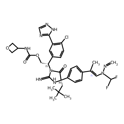 C=NN(/C=C(\C)c1ccc([C@@]2(CC(C)(C)C)NC(=N)N([C@H](COC(=O)NC3COC3)c3ccc(Cl)c(-c4ncn[nH]4)c3)C2=O)cc1)C(F)F